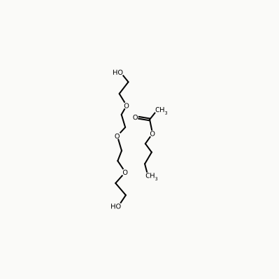 CCCCOC(C)=O.OCCOCCOCCOCCO